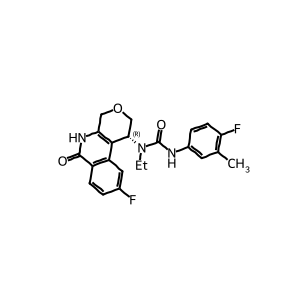 CCN(C(=O)Nc1ccc(F)c(C)c1)[C@H]1COCc2[nH]c(=O)c3ccc(F)cc3c21